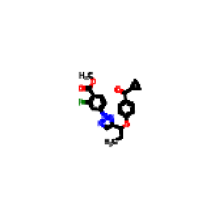 CCC(Oc1ccc(C(=O)C2CC2)cc1)c1cnn(-c2ccc(C(=O)OC)c(F)c2)n1